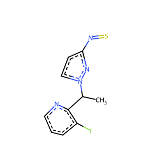 CC(c1ncccc1F)n1ccc(N=S)n1